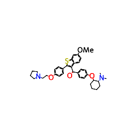 COc1ccc2c(C(=O)c3ccc(O[C@@H]4CCCC[C@H]4N(C)C)cc3)c(-c3ccc(OCCN4CCCC4)cc3)sc2c1